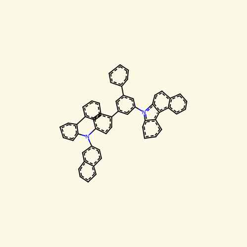 c1ccc(-c2cc(-c3ccc(N(c4ccc5ccccc5c4)c4ccccc4-c4ccccc4)cc3)cc(-n3c4ccccc4c4c5ccccc5ccc43)c2)cc1